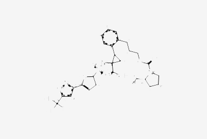 O=C(OCCCc1ccccc1C1CC1(NS(=O)(=O)C1CC=C(c2cc(C(F)(F)F)on2)S1)C(=O)O)N1CCC[C@H]1CO